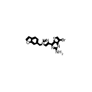 Nc1nc(-c2cn(Cc3ccc4ccoc4c3)nn2)c2scc(Br)c2n1